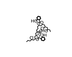 CCCC(Cl)CC1CC(CC(CCCC2CC(CC(Cl)CC(O)CC)OC(c3ccccc3O)O2)N=O)OC(c2ccccc2O)O1